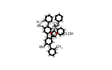 Cl.Cl.[CH2]=[Zr]([CH2]c1ccccc1)([C]1=CC=CC1)([c]1ccccc1)[c]1c2c(cc(C(C)(C)C)c1-c1ccccc1C)-c1cc(C(C)(C)C)c(-c3ccccc3C)cc1C2